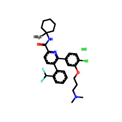 CN(C)CCCOc1cc(-c2nc(C(=O)NC3(C(=O)O)CCCCC3)ccc2-c2ccccc2C(F)F)ccc1Cl.Cl